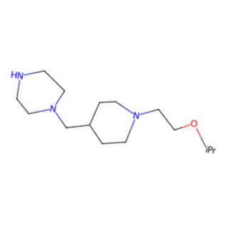 CC(C)OCCN1CCC(CN2CCNCC2)CC1